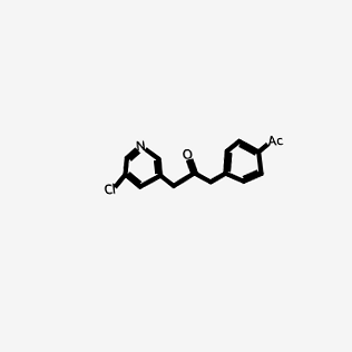 CC(=O)c1ccc(CC(=O)Cc2cncc(Cl)c2)cc1